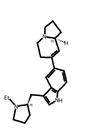 CCN1CCC[C@@H]1Cc1c[nH]c2ccc(C3=C[C@@H]4CCCN4CC3)cc12